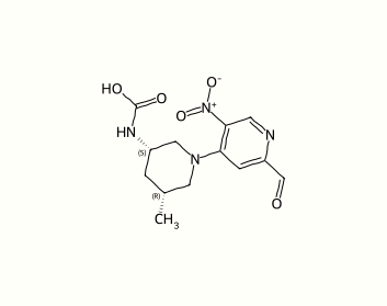 C[C@@H]1C[C@H](NC(=O)O)CN(c2cc(C=O)ncc2[N+](=O)[O-])C1